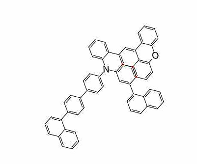 c1cc(-c2cccc3ccccc23)cc(N(c2ccc(-c3ccc(-c4cccc5ccccc45)cc3)cc2)c2ccccc2-c2cc3c4c(cccc4c2)Oc2ccccc2-3)c1